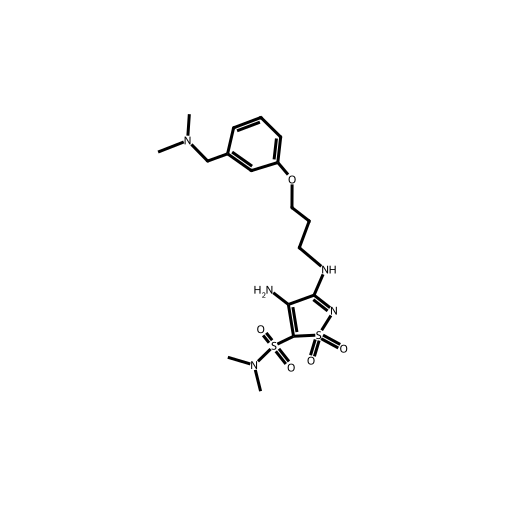 CN(C)Cc1cccc(OCCCNC2=NS(=O)(=O)C(S(=O)(=O)N(C)C)=C2N)c1